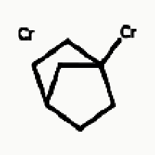 [Cr].[Cr][C]12CCC(CC1)C2